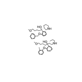 COCCCCC(O)(c1ccccc1OCc1ccccc1)[C@@H]1CCCNC1.COCCCC[C@@](O)(c1ccccc1Oc1ccccc1C)[C@@H]1CCCNC1